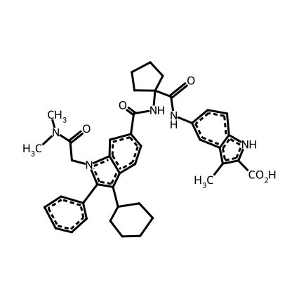 Cc1c(C(=O)O)[nH]c2ccc(NC(=O)C3(NC(=O)c4ccc5c(C6CCCCC6)c(-c6ccccc6)n(CC(=O)N(C)C)c5c4)CCCC3)cc12